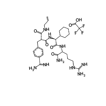 C=CCNC(=O)C(Cc1ccc(C(=N)N)cc1)C(=O)N[C@H](C(=O)NC(CCCNC(=N)N)C(N)=O)C1CCCCC1.O=C(O)C(F)(F)F